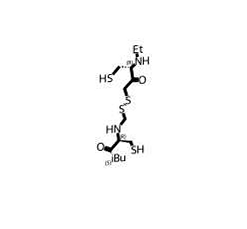 CCN[C@@H](CS)C(=O)CSSCN[C@@H](CS)C(=O)[C@@H](C)CC